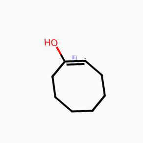 O/C1=[C]/CCCCCC1